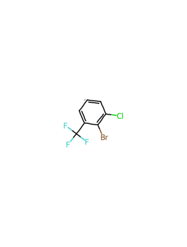 FC(F)(F)c1c[c]cc(Cl)c1Br